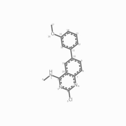 CNc1nc(Cl)nc2ccc(-c3cccc(OC)c3)cc12